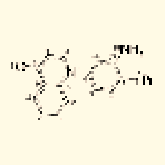 CCCc1ccc(-n2ccc(=O)c3ccccc32)cc1N